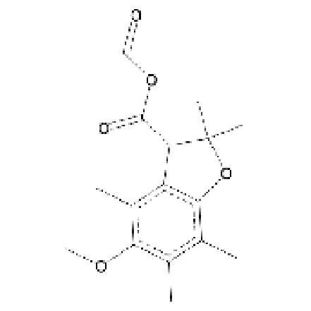 COc1c(C)c(C)c2c(c1C)C(C(=O)OC=O)C(C)(C)O2